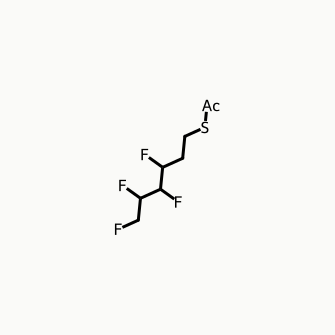 CC(=O)SCCC(F)C(F)C(F)CF